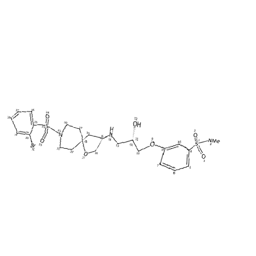 CNS(=O)(=O)c1cccc(OC[C@@H](O)CNC2COC3(CCN(S(=O)(=O)c4ccccc4Br)CC3)C2)c1